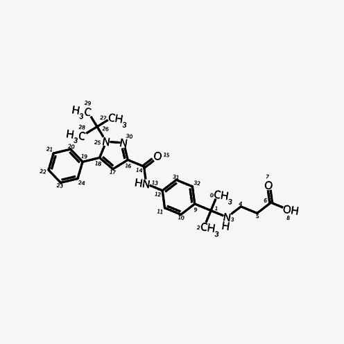 CC(C)(NCCC(=O)O)c1ccc(NC(=O)c2cc(-c3ccccc3)n(C(C)(C)C)n2)cc1